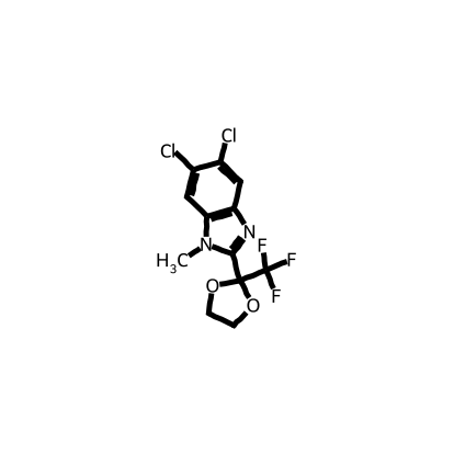 Cn1c(C2(C(F)(F)F)OCCO2)nc2cc(Cl)c(Cl)cc21